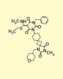 CCS/C(NC)=C1/C(=O)N(Cc2ccccc2)C(=O)N(C2CCC3(CC2)CC2(C3)C(=O)N(C)C(=O)N2CC2CCOCC2)C1=O